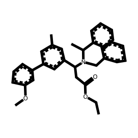 CCOC(=O)CC(c1cc(C)cc(-c2cccc(OC)c2)c1)N(Cc1ccccc1)C(C)c1ccccc1